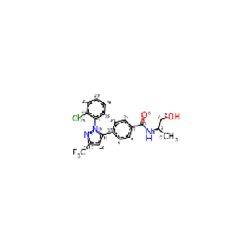 CC(CO)NC(=O)c1ccc(-c2cc(C(F)(F)F)nn2-c2ccccc2Cl)cc1